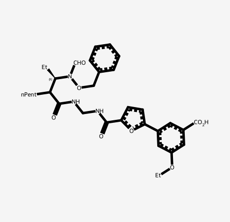 CCCCCC(C(=O)NCNC(=O)c1ccc(-c2cc(OCC)cc(C(=O)O)c2)o1)[C@@H](CC)N(C=O)OCc1ccccc1